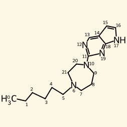 CCCCCCN1CCCN(c2ncc3cc[nH]c3n2)CC1